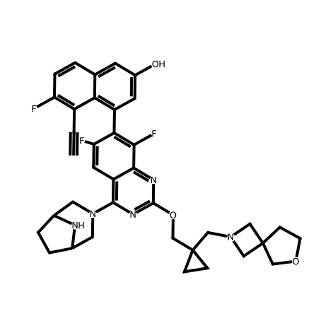 C#Cc1c(F)ccc2cc(O)cc(-c3c(F)cc4c(N5CC6CCC(C5)N6)nc(OCC5(CN6CC7(CCOC7)C6)CC5)nc4c3F)c12